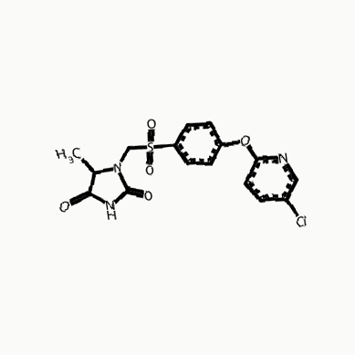 CC1C(=O)NC(=O)N1CS(=O)(=O)c1ccc(Oc2ccc(Cl)cn2)cc1